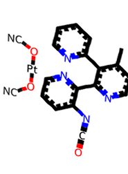 Cc1ccnc(-c2ncccc2N=C=O)c1-c1ccccn1.N#C[O][Pt][O]C#N